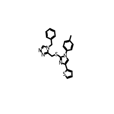 Cc1ccc(-n2cc(-c3cccs3)nc2SCc2nncn2Cc2ccccc2)cc1